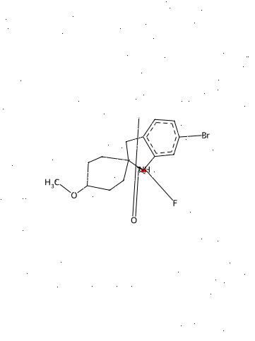 COC1CCC2(CC1)Cc1ccc(Br)cc1C21C=C(F)C(=O)N1